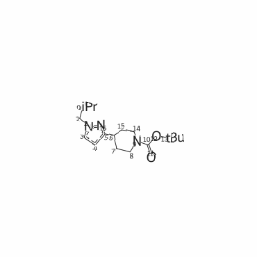 CC(C)Cn1ccc(C2CCN(C(=O)OC(C)(C)C)CC2)n1